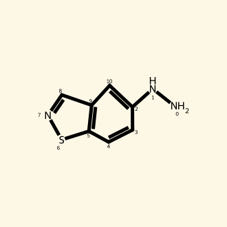 NNc1ccc2sncc2c1